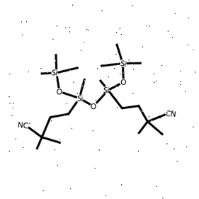 CC(C)(C#N)CC[Si](C)(O[Si](C)(C)C)O[Si](C)(CCC(C)(C)C#N)O[Si](C)(C)C